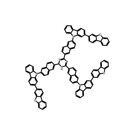 c1ccc2c(c1)oc1cc(-c3ccc4c5ccccc5n(-c5ccc6cc(C7=NC(c8ccc9cc(-n%10c%11ccccc%11c%11ccc(-c%12ccc%13c(c%12)oc%12ccccc%12%13)cc%11%10)ccc9c8)NC(c8ccc9cc(-n%10c%11ccccc%11c%11ccc(-c%12ccc%13c(c%12)oc%12ccccc%12%13)cc%11%10)ccc9c8)=N7)ccc6c5)c4c3)ccc12